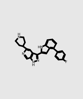 Fc1ccc(-c2cccc3[nH]c(-c4n[nH]c5cnc(C6CCNCC6)cc45)cc23)cc1